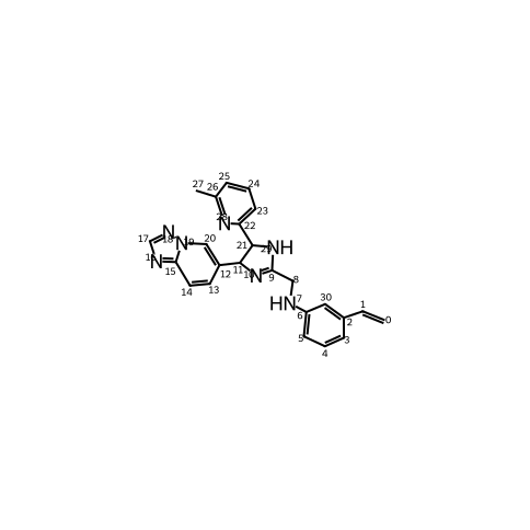 C=Cc1cccc(NCC2=NC(c3ccc4ncnn4c3)C(c3cccc(C)n3)N2)c1